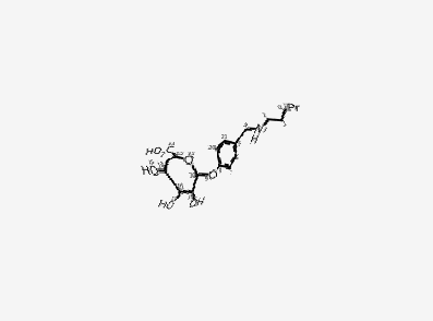 CC(C)CCNCc1ccc(OC2OC(C(=O)O)C(O)C(O)C2O)cc1